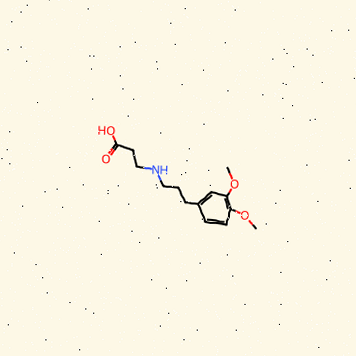 COc1ccc(CCCNCCC(=O)O)cc1OC